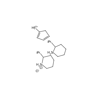 CC(C)C1CCCC[SiH2]1.CC(C)C1CCCC[SiH2]1.[Cl-].[Cl-].[Hf+2][C]1=CC=CC1